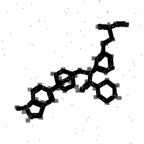 COC(=O)COc1cccc(N(CC23CCC(c4ccc5c(cnn5C)c4)(CC2)OC3)C(=O)C2CCOCC2)c1